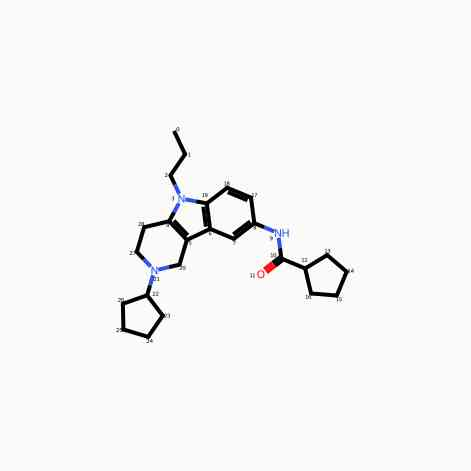 CCCn1c2c(c3cc(NC(=O)C4CCCC4)ccc31)CN(C1CCCC1)CC2